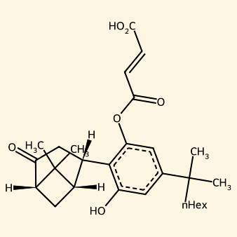 CCCCCCC(C)(C)c1cc(O)c([C@H]2CC(=O)[C@H]3C[C@@H]2C3(C)C)c(OC(=O)/C=C/C(=O)O)c1